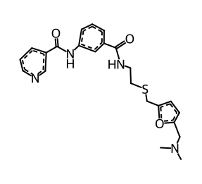 CN(C)Cc1ccc(CSCCNC(=O)c2cccc(NC(=O)c3cccnc3)c2)o1